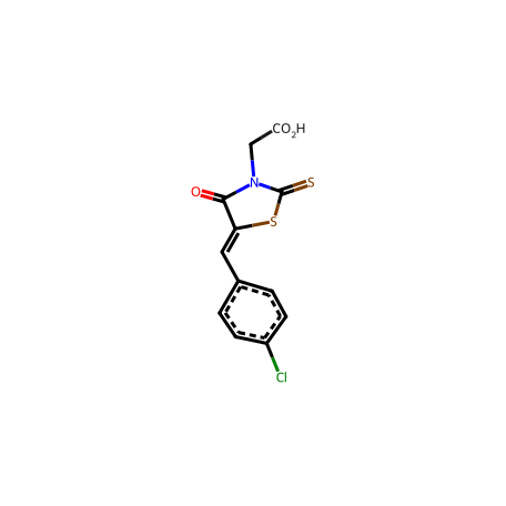 O=C(O)CN1C(=O)C(=Cc2ccc(Cl)cc2)SC1=S